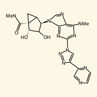 CNC(=O)[C@]12CC1[C@@H](n1cnc3c(NC)nc(-n4cc(-c5cnccn5)nn4)nc31)C(O)[C@@H]2O